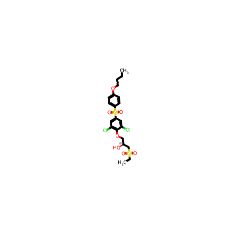 CCCCOc1ccc(S(=O)(=O)c2cc(Cl)c(OC[C@H](O)CS(=O)(=O)CC)c(Cl)c2)cc1